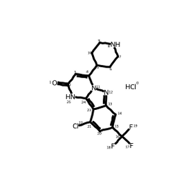 Cl.O=c1cc(C2CCNCC2)n2nc3cc(C(F)(F)F)cc(Cl)c3c2[nH]1